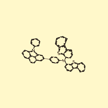 c1ccc(-n2c3cccc4ccc5cc(-c6ccc(N(c7cccc8c7sc7ccccc78)c7cccc8c7sc7ccccc78)cc6)cc2c5c43)cc1